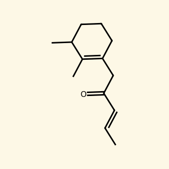 CC=CC(=O)CC1=C(C)C(C)CCC1